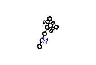 N=C(/C=C\C(=N)c1ccc(-c2ccc3c(c2)C2(c4ccccc4-c4ccccc42)c2ccccc2C32c3ccccc3-c3ccccc32)cc1)c1ccccc1